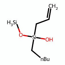 C=CC[Si](O)(CCCCC)O[SiH3]